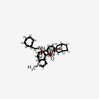 Cn1ccc2c(C(=O)NC3CC4CCC(C3)N4c3ccc(C(=O)NCc4ccccc4)cn3)cccc21